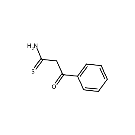 NC(=S)CC(=O)c1ccccc1